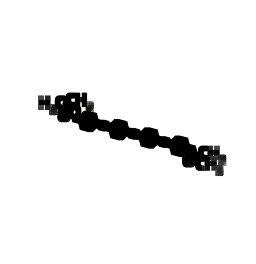 C=C(C)C(=O)Cc1ccc(C#Cc2ccc(C#Cc3ccc(C#Cc4ccc(COC(=O)C(=C)C)cc4)cc3)cc2)cc1